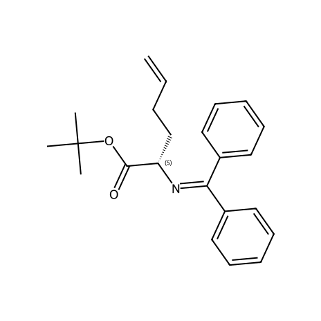 C=CCC[C@H](N=C(c1ccccc1)c1ccccc1)C(=O)OC(C)(C)C